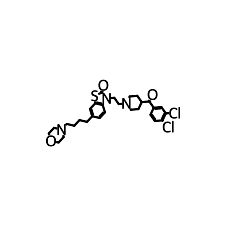 O=C(c1ccc(Cl)c(Cl)c1)C1CCN(CCn2c(=O)sc3cc(CCCCN4CCOCC4)ccc32)CC1